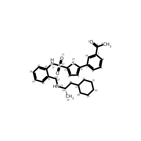 CC(=O)c1cccc(-c2ccc(S(=O)(=O)Nc3ccccc3CN[C@@H](C)CC3CCCCC3)s2)c1